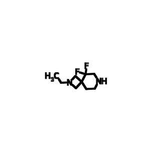 CCN1CC2(CCNCC2(F)F)C1